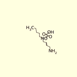 CCCCCCCC=CCN.O=S(=O)(O)O